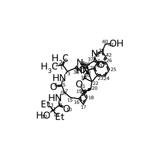 C=C(C)C1NC(=O)[C@@H](NC(=O)C(O)(CC)CC)Cc2ccc3c(c2)C2(c4ccccc4NC2O3)c2oc1nc2-c1nc(CO)co1